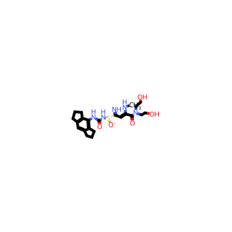 CN/C(=C\C(=N)[S+]([O-])NC(=O)Nc1c2c(cc3c1CCC3)CCC2)C(=O)N(CCO)CCO